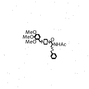 COc1ccc(CN2CCN(C(=O)[C@H](CSCc3ccccc3)NC(C)=O)CC2)c(OC)c1OC